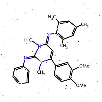 COc1ccc(-c2cc(=Nc3c(C)cc(C)cc3C)n(C)c(=Nc3ccccc3)n2C)cc1OC